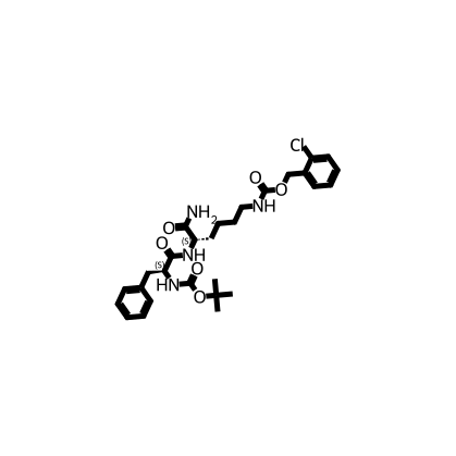 CC(C)(C)OC(=O)N[C@@H](Cc1ccccc1)C(=O)N[C@@H](CCCCNC(=O)OCc1ccccc1Cl)C(N)=O